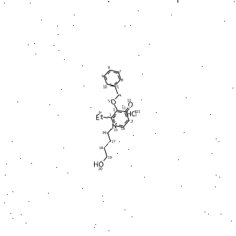 CCc1c(OCc2ccccc2)c(=O)ccn1CCCCO.Cl